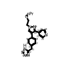 CCCOCCn1cc(-c2ccc(Cc3nnn[nH]3)cc2)c(-c2ccncc2)n1